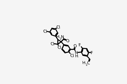 C=Cc1cc(NC(=O)c2cc(C3(C(N)=O)C(c4cc(Cl)cc(Cl)c4)C3(Cl)Cl)ccc2Cl)c(F)cc1F